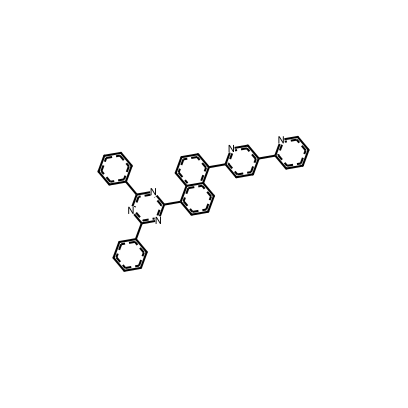 c1ccc(-c2nc(-c3ccccc3)nc(-c3cccc4c(-c5ccc(-c6ccccn6)cn5)cccc34)n2)cc1